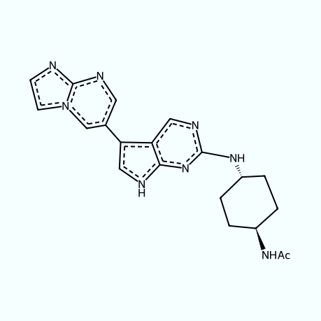 CC(=O)N[C@H]1CC[C@H](Nc2ncc3c(-c4cnc5nccn5c4)c[nH]c3n2)CC1